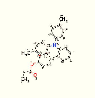 CCC(=O)Oc1ccc(-c2ccccc2N(c2ccc(C)cc2)c2ccc(C)cc2)cc1